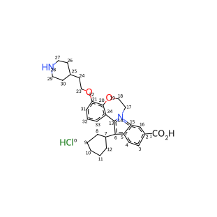 Cl.O=C(O)c1ccc2c(C3CCCCC3)c3n(c2c1)CCOc1c(OCCC2CCNCC2)cccc1-3